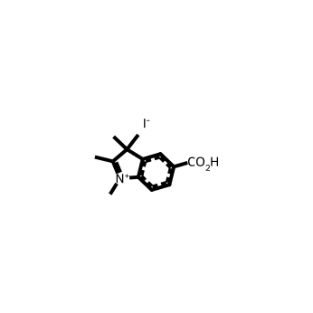 CC1=[N+](C)c2ccc(C(=O)O)cc2C1(C)C.[I-]